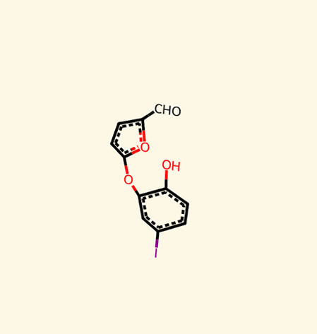 O=Cc1ccc(Oc2cc(I)ccc2O)o1